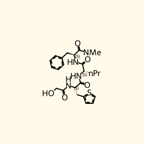 CCC[C@H](NC(=O)[C@H](Cc1cccs1)NC(=O)CO)C(=O)N[C@@H](Cc1ccccc1)C(=O)NC